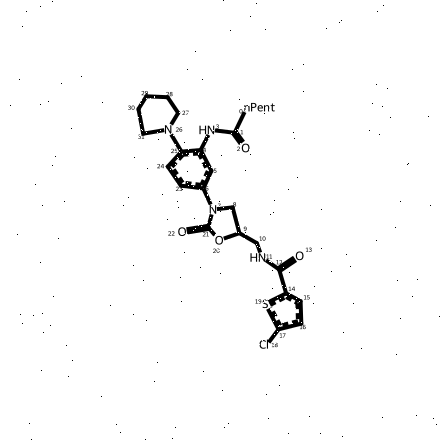 CCCCCC(=O)Nc1cc(N2CC(CNC(=O)c3ccc(Cl)s3)OC2=O)ccc1N1CCCCC1